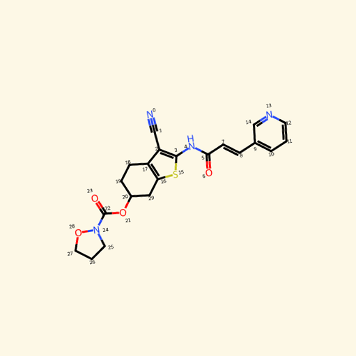 N#Cc1c(NC(=O)/C=C/c2cccnc2)sc2c1CCC(OC(=O)N1CCCO1)C2